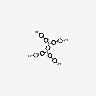 OC1CCN(c2ccc(N(c3ccc(N4CCC(O)CC4)cc3)C3C=CC(N(c4ccc(N5CCC(O)CC5)cc4)c4ccc(N5CCC(O)CC5)cc4)C=C3)cc2)CC1